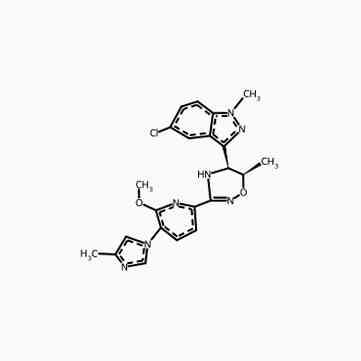 COc1nc(C2=NO[C@H](C)[C@H](c3nn(C)c4ccc(Cl)cc34)N2)ccc1-n1cnc(C)c1